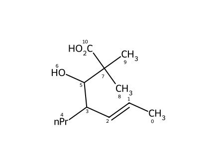 CC=CC(CCC)C(O)C(C)(C)C(=O)O